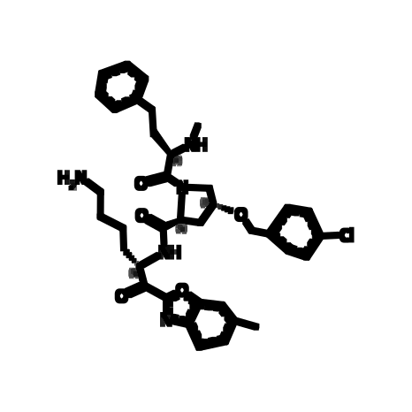 CN[C@H](CCc1ccccc1)C(=O)N1C[C@H](OCc2ccc(Cl)cc2)C[C@H]1C(=O)N[C@@H](CCCCN)C(=O)c1nc2ccc(C)cc2o1